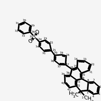 CC1(C)c2ccccc2-c2c3ccccc3c(-c3ccc(-c4ccc(S(=O)(=O)c5ccccc5)cc4)cc3)c3cccc1c23